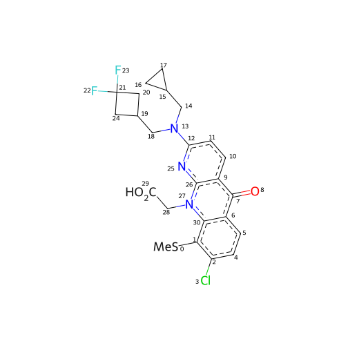 CSc1c(Cl)ccc2c(=O)c3ccc(N(CC4CC4)CC4CC(F)(F)C4)nc3n(CC(=O)O)c12